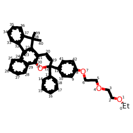 CCOCCOCCOc1ccc(C2(c3ccccc3)C=Cc3c4c(c5ccccc5c3O2)-c2ccccc2C4(C)C)cc1